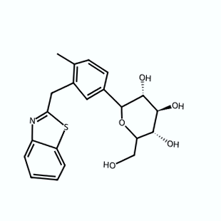 Cc1ccc(C2OC(CO)[C@@H](O)[C@H](O)[C@H]2O)cc1Cc1nc2ccccc2s1